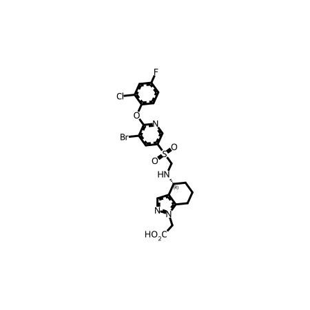 O=C(O)Cn1ncc2c1CCC[C@H]2NCS(=O)(=O)c1cnc(Oc2ccc(F)cc2Cl)c(Br)c1